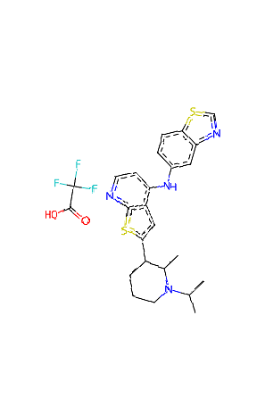 CC(C)N1CCCC(c2cc3c(Nc4ccc5scnc5c4)ccnc3s2)C1C.O=C(O)C(F)(F)F